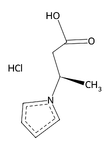 C[C@H](CC(=O)O)n1cccc1.Cl